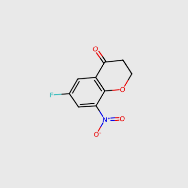 O=C1CCOc2c1cc(F)cc2[N+](=O)[O-]